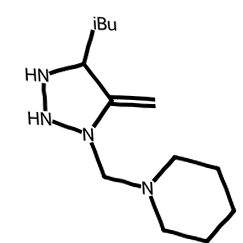 C=C1C(C(C)CC)NNN1CN1CCCCC1